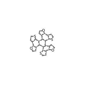 c1cc2c(o1)c1ccsc1c1c2c2c3sccc3c3occc3c2c2c3sccc3c3occc3c12